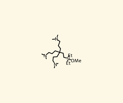 CC[Si](CC)(CCC(CCCN(C)C)(CCCN(C)C)CCCN(C)C)OC